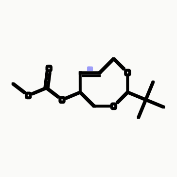 COC(=O)OC1/C=C/COC(C(C)(C)C)OC1